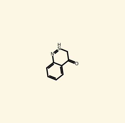 O=C1C[SiH]=Nc2ccccc21